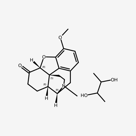 CC(O)C(C)O.COc1ccc2c3c1O[C@H]1C(=O)CC[C@H]4[C@@H](C2)N(C)CC[C@]314